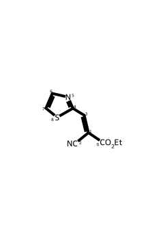 CCOC(=O)/C(C#N)=C/c1nccs1